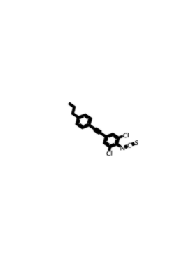 CCCc1ccc(C#Cc2cc(Cl)c(N=C=S)c(Cl)c2)cc1